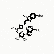 CC(C)N(C[C@H]1O[C@@H](n2cnc3c(N)ncnc32)[C@H](O)[C@@H]1O)[C@H]1C[C@@H](CCc2nc3cc(C(C)(C)C)ccc3[nH]2)C1